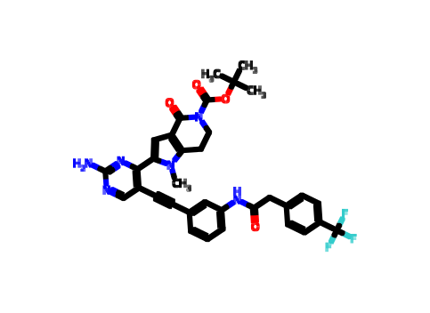 Cn1c(-c2nc(N)ncc2C#Cc2cccc(NC(=O)Cc3ccc(C(F)(F)F)cc3)c2)cc2c1CCN(C(=O)OC(C)(C)C)C2=O